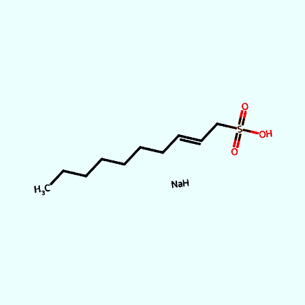 CCCCCCCC=CCS(=O)(=O)O.[NaH]